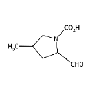 CC1CC(C=O)N(C(=O)O)C1